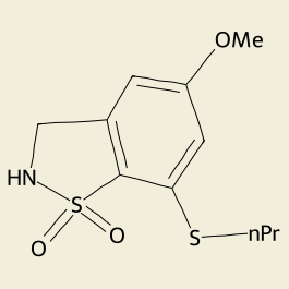 CCCSc1cc(OC)cc2c1S(=O)(=O)NC2